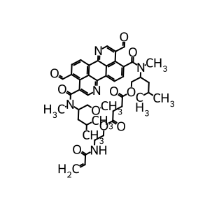 C=CC(=O)NCCOC(=O)CCC(=O)OCC(CC(C)C)N(C)C(=O)c1ccc2c3ncc(C(=O)N(C)C(COC)CC(C)C)c4c(C=O)ccc(c5ncc(C=O)c1c25)c43